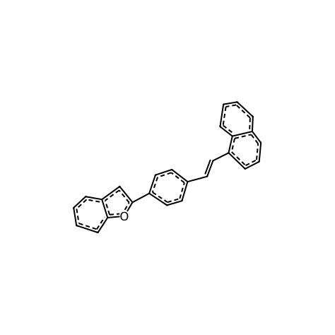 C(=Cc1cccc2ccccc12)c1ccc(-c2cc3ccccc3o2)cc1